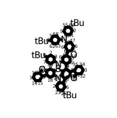 CC(C)(C)c1ccc(N2B3c4cc5oc6ccccc6c5cc4-n4c5ccc(C(C)(C)C)cc5c5c6oc7ccccc7c6c(c3c54)-c3cc4oc5ccc(N(c6ccc(C(C)(C)C)cc6)c6ccc(C(C)(C)C)cc6)cc5c4cc32)cc1